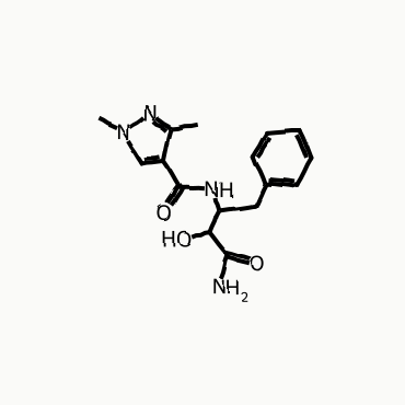 Cc1nn(C)cc1C(=O)NC(Cc1ccccc1)C(O)C(N)=O